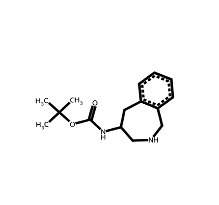 CC(C)(C)OC(=O)NC1CNCc2ccccc2C1